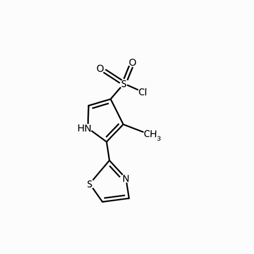 Cc1c(S(=O)(=O)Cl)c[nH]c1-c1nccs1